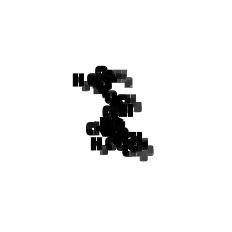 C[C@H](COCc1cc(N)c(=O)n(C)n1)NC(=O)c1cnc2c(N(C)C(=O)OC(C)(C)C)cc(Cl)nn12